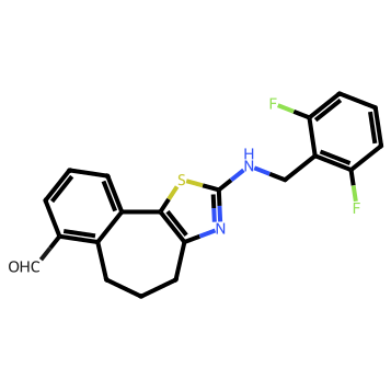 O=Cc1cccc2c1CCCc1nc(NCc3c(F)cccc3F)sc1-2